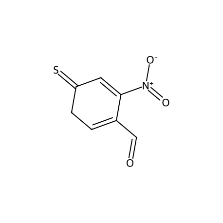 O=CC1=CCC(=S)C=C1[N+](=O)[O-]